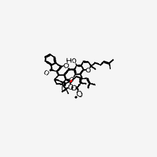 COC(=O)/C(C)=C\CC12OC(C)(C)C3CC(C1=O)C1C4=C(OC5=C1C32Oc1c(CC=C(C)C)c2c(c(O)c15)C=CC(C)(CCC=C(C)C)O2)c1ccccc1C4=O